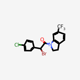 O=C(C(Br)c1ccc(Cl)cc1)N1CCc2ccc(C(F)(F)F)cc21